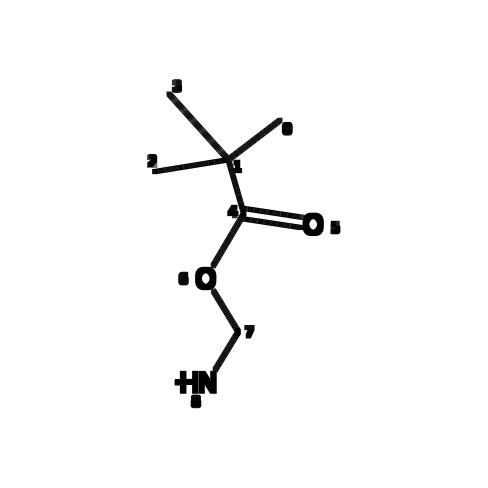 CC(C)(C)C(=O)OC[NH]